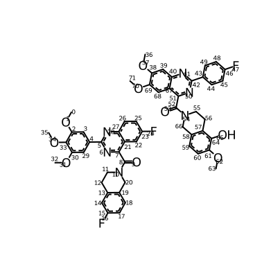 COc1cc(-c2nc(C(=O)N3CCc4cc(F)ccc4C3)c3cc(F)ccc3n2)cc(OC)c1OC.COc1cc2nc(-c3ccc(F)cc3)nc(C(=O)N3CCc4c(ccc(OC)c4O)C3)c2cc1OC